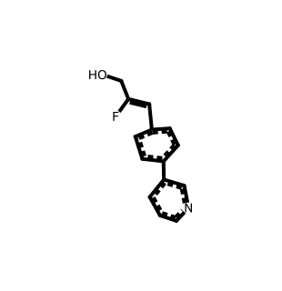 OC/C(F)=C/c1ccc(-c2cccnc2)cc1